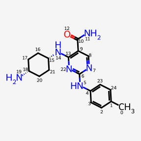 Cc1ccc(Nc2ncc(C(N)=O)c(N[C@H]3CC[C@@H](N)CC3)n2)cc1